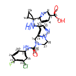 O=C(O)c1ccc(C2(Nc3cnn4c3CN(C(=O)Nc3ccc(F)c(Cl)c3)CC4)CC2)nc1